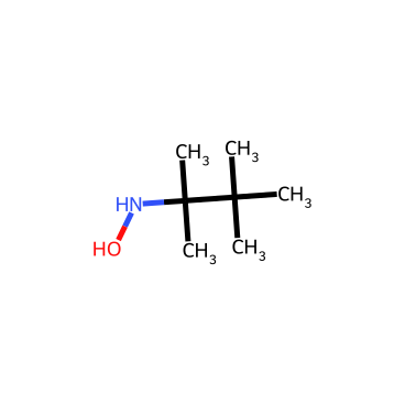 CC(C)(C)C(C)(C)NO